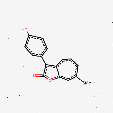 CSc1cccc2c(-c3ccc(O)cc3)c(=O)oc-2c1